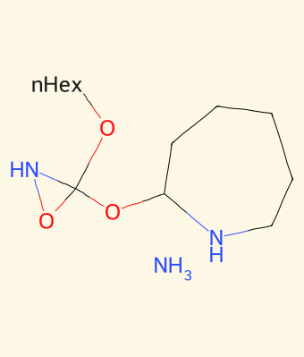 CCCCCCOC1(OC2CCCCCN2)NO1.N